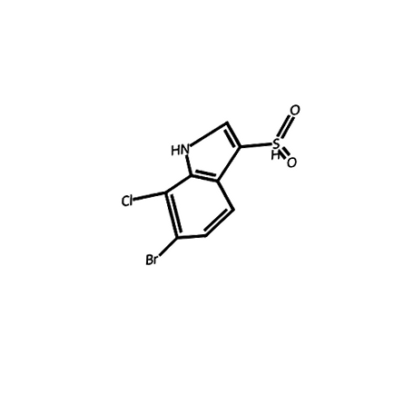 O=[SH](=O)c1c[nH]c2c(Cl)c(Br)ccc12